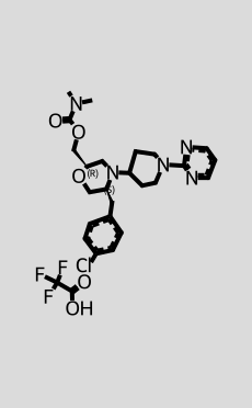 CN(C)C(=O)OC[C@H]1CN(C2CCN(c3ncccn3)CC2)[C@@H](Cc2ccc(Cl)cc2)CO1.O=C(O)C(F)(F)F